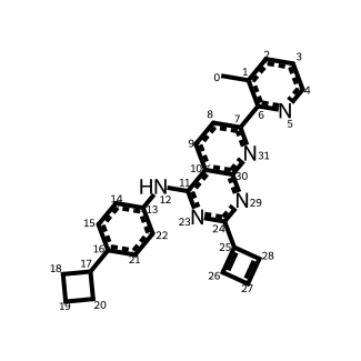 Cc1cccnc1-c1ccc2c(Nc3ccc(C4CCC4)cc3)nc(C3=CC=C3)nc2n1